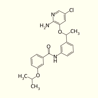 CC(C)Oc1cccc(C(=O)Nc2cccc(C(C)Oc3cc(Cl)cnc3N)c2)c1